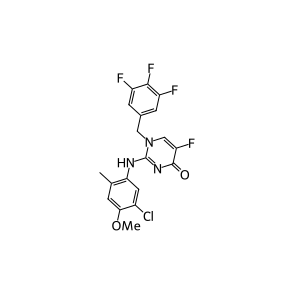 COc1cc(C)c(Nc2nc(=O)c(F)cn2Cc2cc(F)c(F)c(F)c2)cc1Cl